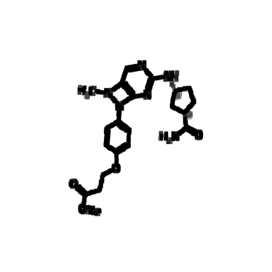 COC(=O)CCOc1ccc(-n2c3nc(N[C@@H]4CC[C@@H](C(N)=O)C4)ncc3n2C)cc1